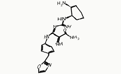 N=C(/N=C(/Nc1ccc(-c2ncco2)cc1)C(=N)C(N)=O)N[C@@H]1CCCC[C@@H]1N